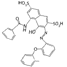 Cc1ccccc1Oc1ccccc1/N=N/c1c(S(=O)(=O)O)cc2cc(S(=O)(=O)O)cc(NC(=O)c3ccccc3)c2c1O